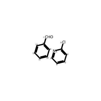 Clc1ccccn1.O=Cc1ccccc1